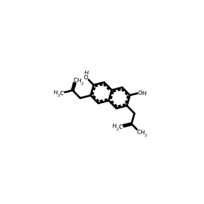 C=C(C)Cc1cc2cc(CC(=C)C)c(O)cc2cc1O